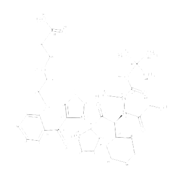 CCC(=O)N([C@H](C(=O)[C@@]1(N2CSC=C2C(=O)c2ccccc2OCCOCCC(=O)O)CCCN1)C1CCCCC1)N(C)C(=O)OC(C)(C)C